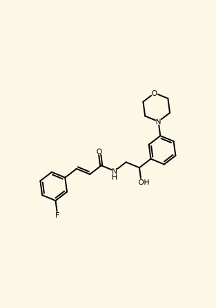 O=C(C=Cc1cccc(F)c1)NCC(O)c1cccc(N2CCOCC2)c1